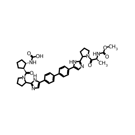 COC(=O)N[C@@H](C)C(=O)N1CCCC1c1ncc(-c2ccc(-c3ccc(-c4cnc(C5CCCN5C(=O)[C@H]5CCC[C@@H]5NC(=O)O)[nH]4)cc3)cc2)[nH]1